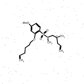 C=CCCCCOc1cc(OC)ccc1S(=O)(=O)N(C)C[C@@H](C)CC=C